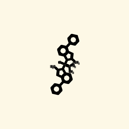 CC1=Cc2c(-c3ccccc3)cccc2[CH]1[Zr]([Cl])([CH]1C(C)=Cc2c(-c3ccccc3)cccc21)=[Si](C)C